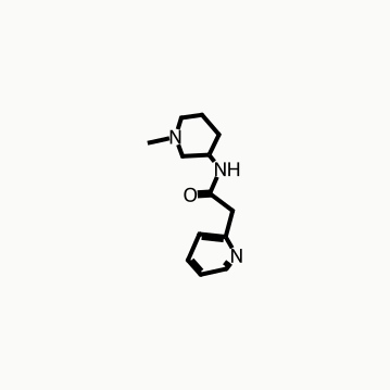 CN1CCCC(NC(=O)Cc2ccccn2)C1